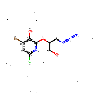 [N-]=[N+]=NCC(CO)Oc1nc(Cl)cc(Br)c1O